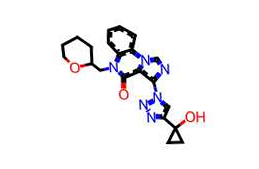 O=c1c2c(-n3cc(C4(O)CC4)nn3)ncn2c2ccccc2n1CC1CCCCO1